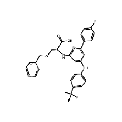 O=C(O)[C@H](CSCc1ccccc1)Nc1nc(Nc2ccc(C(F)(F)F)cc2)nc(-c2ccc(F)cc2)n1